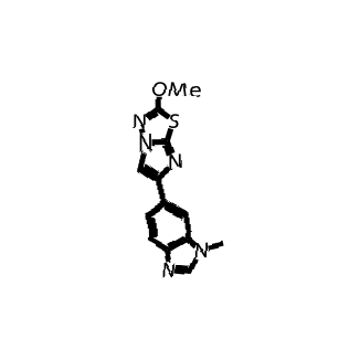 COc1nn2cc(-c3ccc4ncn(C)c4c3)nc2s1